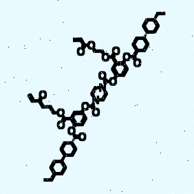 C=CC(=O)CCCOC(=O)c1cc(OC(=O)N2CCN(C(=O)Oc3ccc(OC(=O)C4CCC([C@H]5CC[C@H](CC)CC5)CC4)c(C(=O)OCCOC(=O)C=C)c3)CC2)ccc1OC(=O)[C@H]1CC[C@H](C2CCC(CC)CC2)CC1